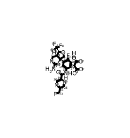 NC1=NC[C@H]2[C@@H](C(F)(F)F)OC[C@]2(c2cc(NC(=O)c3cnc(CF)cn3)ccc2F)S1.O=C(O)CC(=O)O